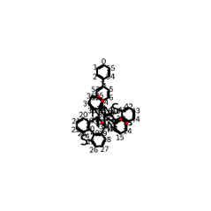 c1ccc(-c2ccc(-c3nc(-c4ccccc4)nc(-c4cccc5sc6cccc(-c7nc(-c8ccccc8)c8sc9ccccc9c8n7)c6c45)n3)cc2)cc1